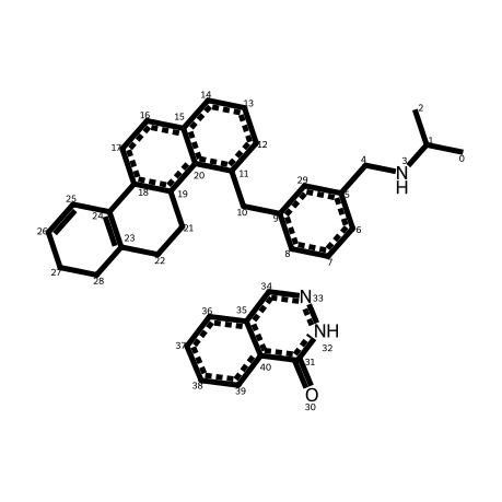 CC(C)NCc1cccc(Cc2cccc3ccc4c(c23)CCC2=C4C=CCC2)c1.O=c1[nH]ncc2ccccc12